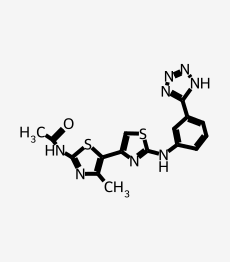 CC(=O)Nc1nc(C)c(-c2csc(Nc3cccc(-c4nnn[nH]4)c3)n2)s1